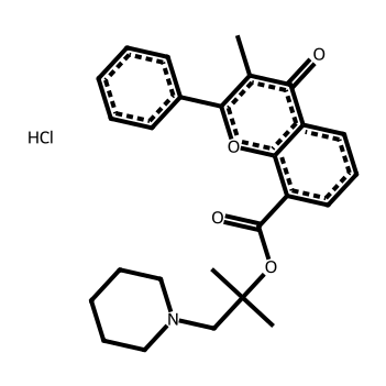 Cc1c(-c2ccccc2)oc2c(C(=O)OC(C)(C)CN3CCCCC3)cccc2c1=O.Cl